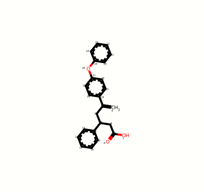 C=C(CC(CC(=O)O)c1ccccc1)c1ccc(Oc2ccccc2)cc1